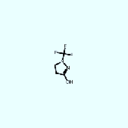 OC1=NN(C(F)(F)F)CC1